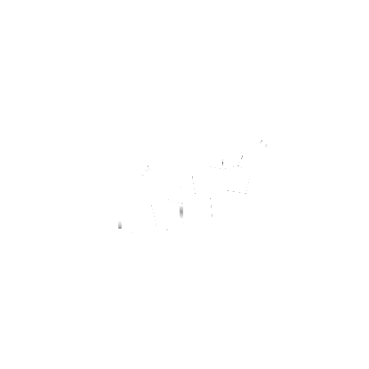 CCCCCCCC(=O)Oc1cc2c(c(OC(=O)CCCCCCC)c1)[C@H]1CC[C@]3(C)[C@@H](OC(=O)CCCCCCC)CC[C@H]3[C@H]1CC2